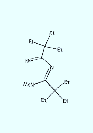 CCC(CC)(CC)C(=N)/N=C(\NC)C(CC)(CC)CC